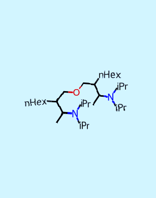 CCCCCCC(COCC(CCCCCC)C(C)N(C(C)C)C(C)C)C(C)N(C(C)C)C(C)C